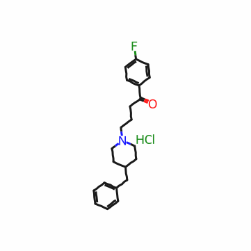 Cl.O=C(CCCN1CCC(Cc2ccccc2)CC1)c1ccc(F)cc1